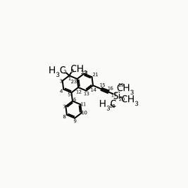 CC1(C)CC=C(c2ccccc2)c2cc(C#C[Si](C)(C)C)ccc21